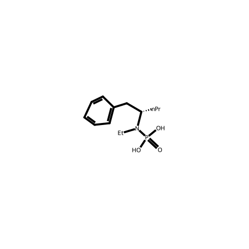 CCC[C@@H](Cc1ccccc1)N(CC)P(=O)(O)O